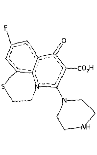 O=C(O)c1c(N2CCNCC2)n2c3c(cc(F)cc3c1=O)SCC2